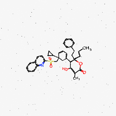 CCCC1(CCc2ccccc2)OC(=O)C(C)=C(O)C1C1=CC=CC(CS(=O)(=O)c2ccc3ccccc3n2)(C2CC2)C1